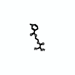 CCCC(C(=O)OCCOC(=O)C1=CN(C)C=CC1)C(C)C